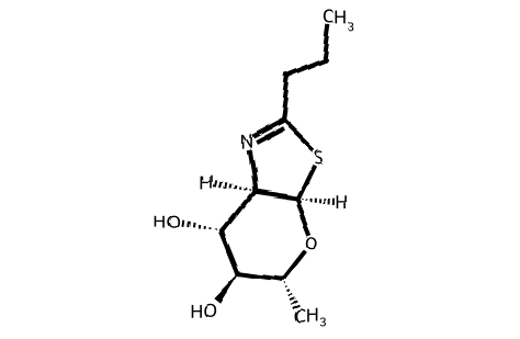 CCCC1=N[C@@H]2[C@@H](O)[C@H](O)[C@@H](C)O[C@@H]2S1